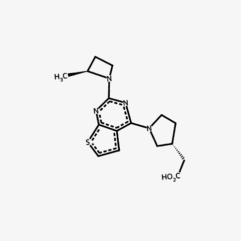 C[C@H]1CCN1c1nc(N2CC[C@H](CC(=O)O)C2)c2ccsc2n1